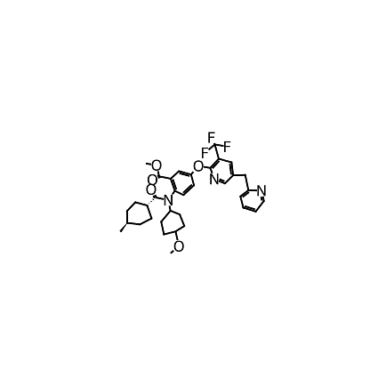 COC(=O)c1cc(Oc2ncc(Cc3ccccn3)cc2C(F)(F)F)ccc1N(C(=O)[C@H]1CC[C@H](C)CC1)C1CCC(OC)CC1